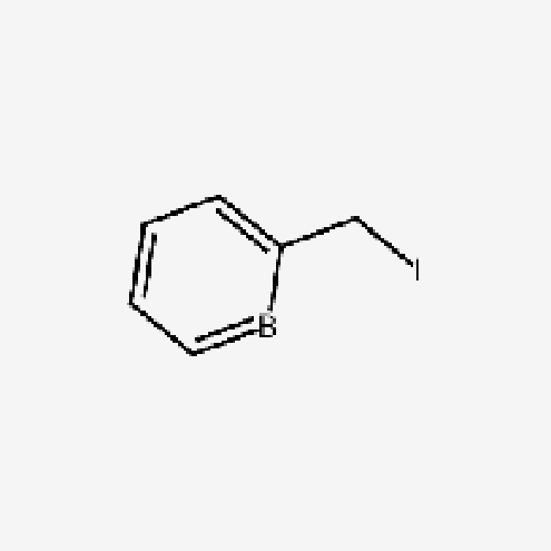 ICc1bcccc1